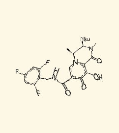 CCCC[C@@H]1[C@H](C)n2cc(C(=O)NCc3c(F)cc(F)cc3F)c(=O)c(O)c2C(=O)N1C